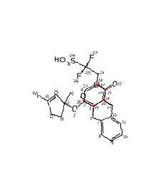 CC1(OC(=O)C2C3c4ccccc4C(c4ccccc43)C2C(=O)OCC(F)(F)S(=O)(=O)O)C=C(I)CC1